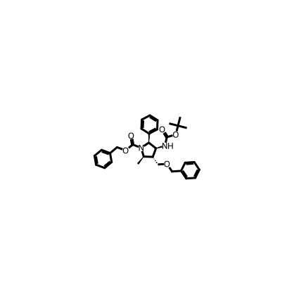 C[C@@H]1[C@@H](COCc2ccccc2)[C@H](NC(=O)OC(C)(C)C)[C@H](c2ccccc2)N1C(=O)OCc1ccccc1